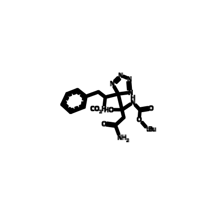 CC(C)(C)OC(=O)NC(O)(CC(N)=O)C1(C(Cc2ccccc2)C(=O)O)N=NN=N1